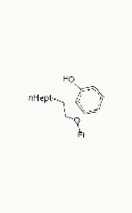 CCCCCCCCCOCC.Oc1ccccc1